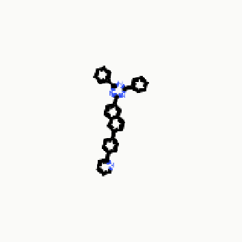 c1ccc(-c2nc(-c3ccccc3)nc(-c3ccc4cc(-c5ccc(-c6ccccn6)cc5)ccc4c3)n2)cc1